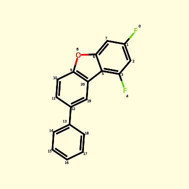 Fc1cc(F)c2c(c1)oc1ccc(-c3ccccc3)cc12